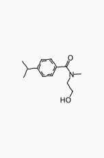 CC(C)c1ccc(C(=O)N(C)CCO)cc1